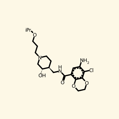 CC(C)OCCCN1CC[C@@H](CNC(=O)c2cc(N)c(Cl)c3c2OCCO3)[C@H](O)C1